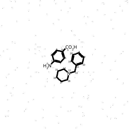 Nc1ccc(C(=O)O)cc1.c1ccc(CN2CCCCC2)cc1